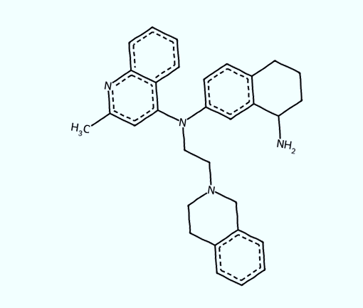 Cc1cc(N(CCN2CCc3ccccc3C2)c2ccc3c(c2)C(N)CCC3)c2ccccc2n1